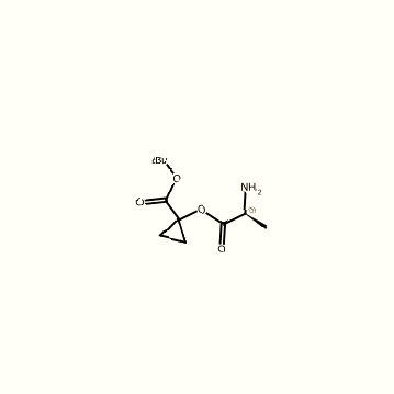 C[C@H](N)C(=O)OC1(C(=O)OC(C)(C)C)CC1